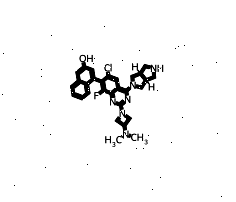 CN(C)C1CN(c2nc(N3C[C@H]4CNC[C@H]4C3)c3cc(Cl)c(-c4cc(O)cc5ccccc45)c(F)c3n2)C1